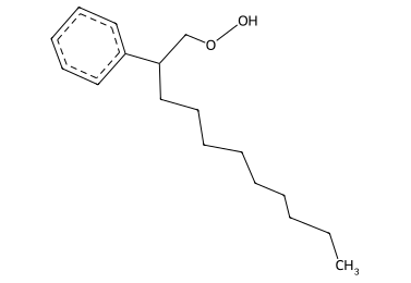 CCCCCCCCCC(COO)c1ccccc1